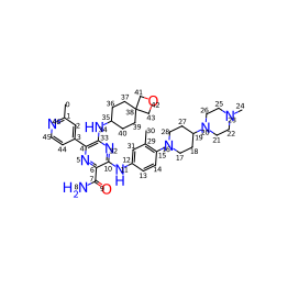 Cc1cc(-c2nc(C(N)=O)c(Nc3ccc(N4CCC(N5CCN(C)CC5)CC4)c(C)c3)nc2NC2CCC3(CC2)COC3)ccn1